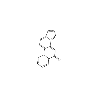 O=C1C=c2c(ccc3c2=CC=C3)C2C=CC=CC12